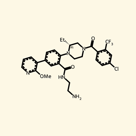 CC[C@@H]1CN(C(=O)c2ccc(Cl)cc2C(F)(F)F)CCN1c1ccc(-c2cccnc2OC)cc1C(=O)NCCN